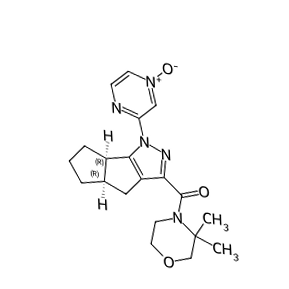 CC1(C)COCCN1C(=O)c1nn(-c2c[n+]([O-])ccn2)c2c1C[C@H]1CCC[C@@H]21